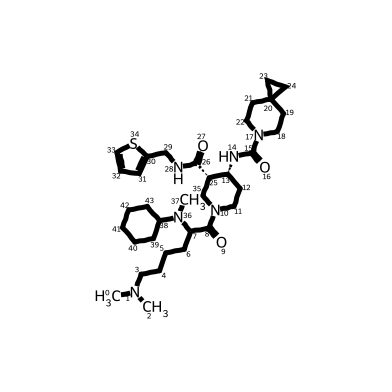 CN(C)CCCCC(C(=O)N1CC[C@@H](NC(=O)N2CCC3(CC2)CC3)[C@@H](C(=O)NCc2cccs2)C1)N(C)C1CCCCC1